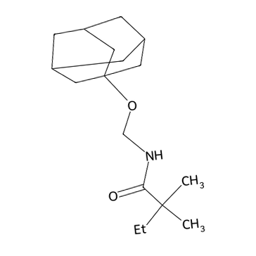 CCC(C)(C)C(=O)NCOC12CC3CC(CC(C3)C1)C2